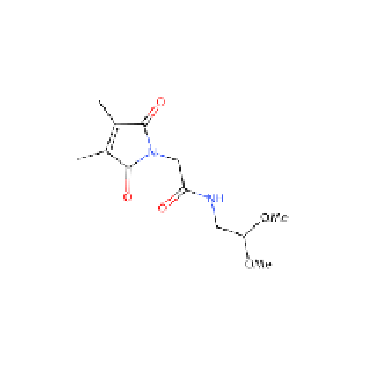 COC(CNC(=O)CN1C(=O)C(C)=C(C)C1=O)OC